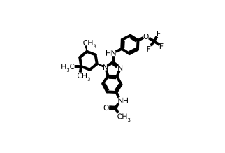 CC(=O)Nc1ccc2c(c1)nc(Nc1ccc(OC(F)(F)F)cc1)n2[C@@H]1C[C@H](C)CC(C)(C)C1